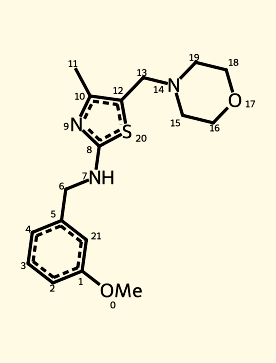 COc1cccc(CNc2nc(C)c(CN3CCOCC3)s2)c1